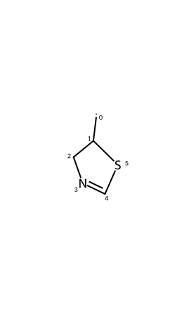 [CH2]C1CN=CS1